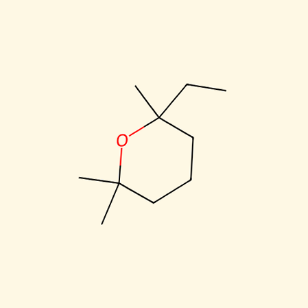 CCC1(C)CCCC(C)(C)O1